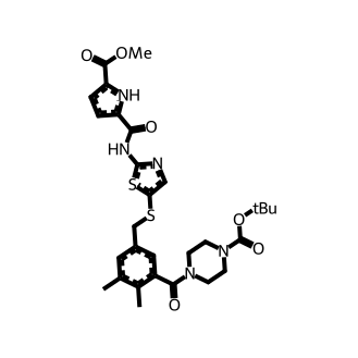 COC(=O)c1ccc(C(=O)Nc2ncc(SCc3cc(C)c(C)c(C(=O)N4CCN(C(=O)OC(C)(C)C)CC4)c3)s2)[nH]1